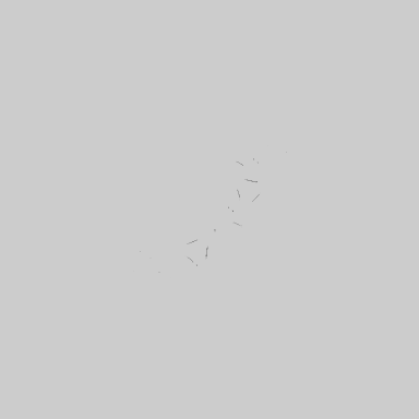 BC(C)(P)COc1ccc(O[C@@H]2CCN(c3ccc4c(c3)C(=O)N(CC(=O)O)C4)C2=O)cn1